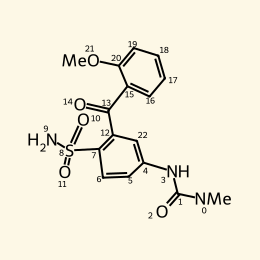 CNC(=O)Nc1ccc(S(N)(=O)=O)c(C(=O)c2ccccc2OC)c1